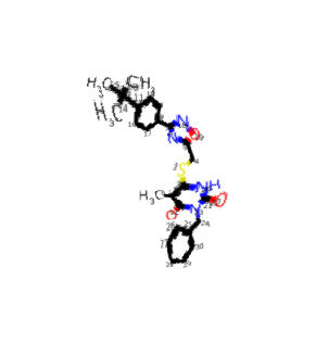 Cc1c(SCc2nc(-c3ccc(C(C)(C)C)cc3)no2)[nH]c(=O)n(Cc2ccccc2)c1=O